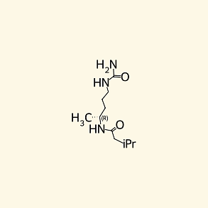 CC(C)CC(=O)N[C@H](C)CCCNC(N)=O